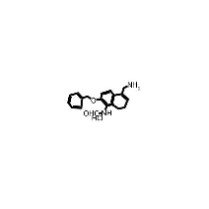 Cl.NCC1=CCCc2c1ccc(OCc1ccccc1)c2NC=O